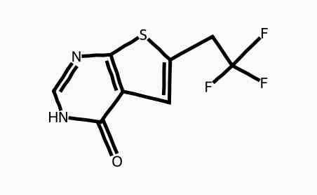 O=c1[nH]cnc2sc(CC(F)(F)F)cc12